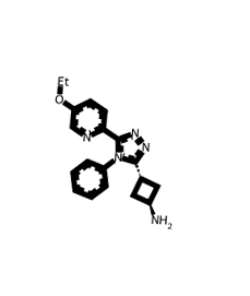 CCOc1ccc(-c2nnc([C@H]3C[C@H](N)C3)n2-c2ccccc2)nc1